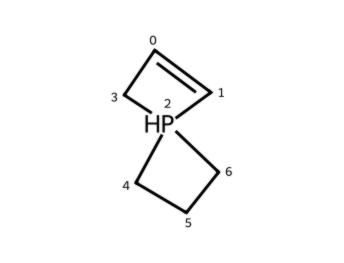 C1=C[PH]2(C1)CCC2